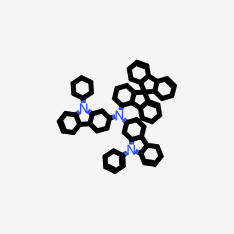 C1=CCCC(N2C3C=CCCC3C3CCC(N(C4CCC5C6CC=CCC6N(C6CCCCC6)C5C4)C4CCCC5C4C4CCCC=C4C54C5CCC=CC5C5C=CCCC54)CC32)=C1